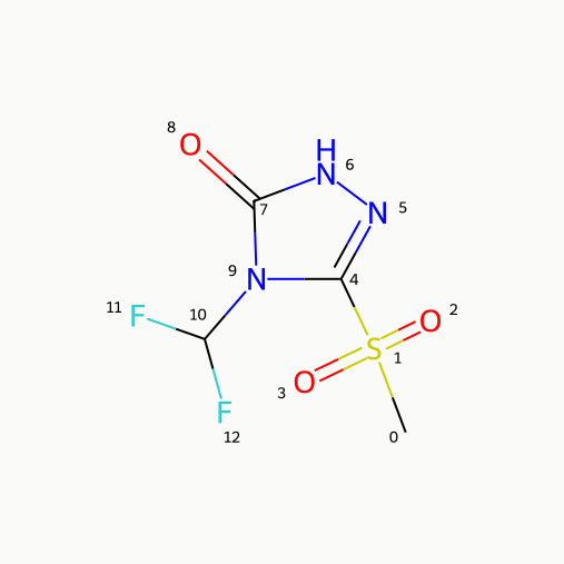 CS(=O)(=O)c1n[nH]c(=O)n1C(F)F